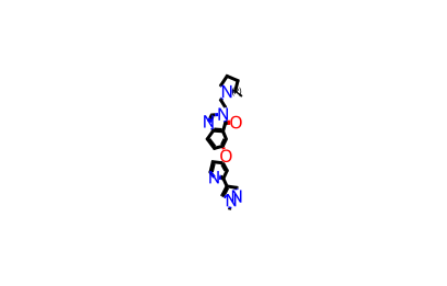 C[C@@H]1CCCN1CCn1cnc2ccc(Oc3ccnc(-c4cnn(C)c4)c3)cc2c1=O